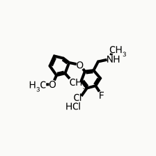 CNCc1cc(F)c(Cl)cc1Oc1cccc(OC)c1C.Cl